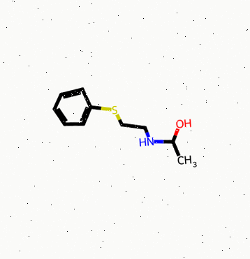 CC(O)NCCSc1ccccc1